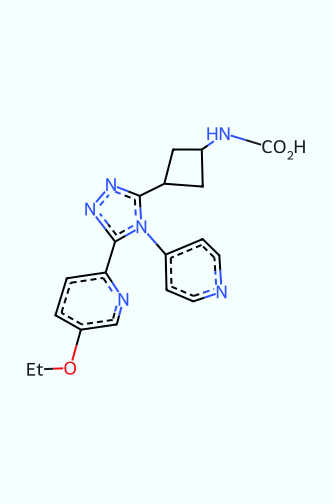 CCOc1ccc(-c2nnc(C3CC(NC(=O)O)C3)n2-c2ccncc2)nc1